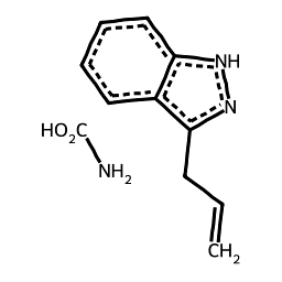 C=CCc1n[nH]c2ccccc12.NC(=O)O